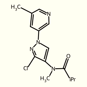 Cc1cncc(-n2cc(N(C)C(=O)C(C)C)c(Cl)n2)c1